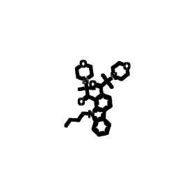 CCCCn1c2ccccc2c2ccc(C(=O)C(C)(C)N3CCOCC3)c(C(=O)C(C)(C)N3CCOCC3)c21